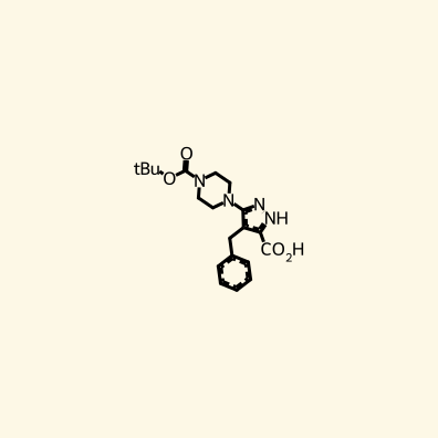 CC(C)(C)OC(=O)N1CCN(c2n[nH]c(C(=O)O)c2Cc2ccccc2)CC1